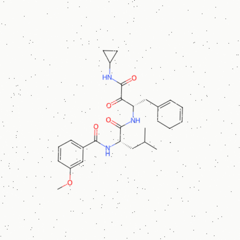 COc1cccc(C(=O)N[C@@H](CC(C)C)C(=O)N[C@@H](CC2=CC=CCC2)C(=O)C(=O)NC2CC2)c1